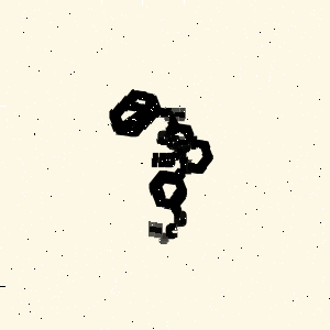 COc1cccc(N2CCCN(CC(=O)NC3C4CC5CC(C4)CC3C5)S2(O)O)c1